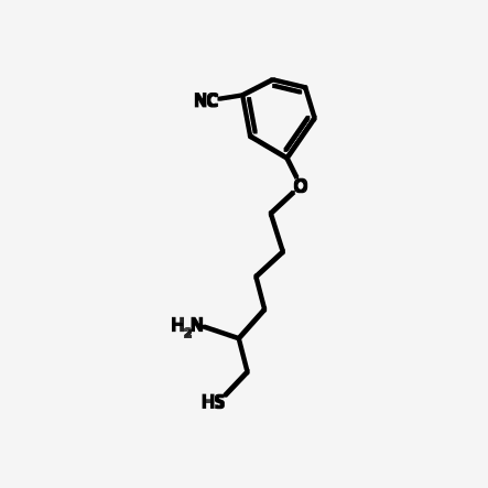 N#Cc1cccc(OCCCCC(N)CS)c1